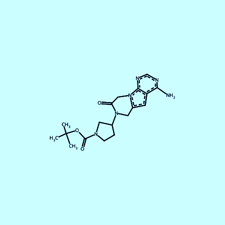 CC(C)(C)OC(=O)N1CCC(N2Cc3cc4c(N)ncnc4n3CC2=O)C1